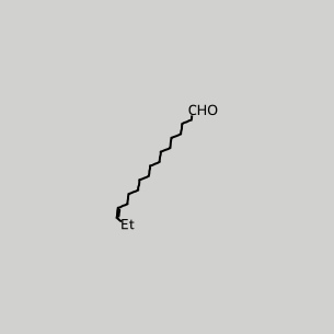 CC/C=C\CCCCCCCCCCCCCC=O